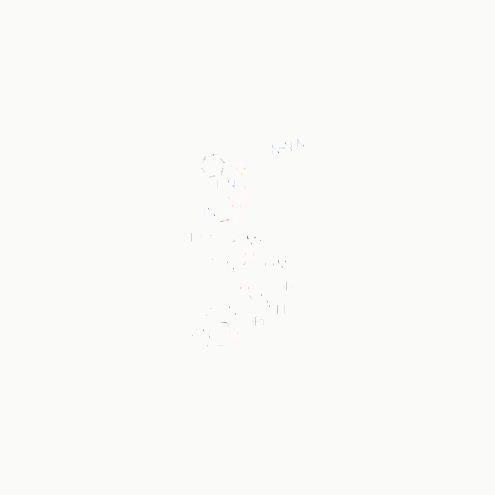 CC[C@H](C)[C@@H]([C@H](CC(=O)N1CCC[C@H]1[C@H](OC)[C@@H](C)C(=O)N[C@@H](Cc1ccccc1)C(=O)NS(=O)(=O)CCCN=[N+]=[N-])OC)N(C)C(=O)[C@@H](NC(=O)[C@@H]1[C@H]2CC[C@H](C2)N1C)C(C)C